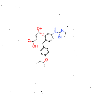 CC[C@@H](C)Oc1ccc(Cc2ccc(NC3=NCCN3)cc2)cc1.O=C(O)C=CC(=O)O